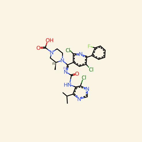 CC(C)c1ncnc(Cl)c1NC(=O)/N=C(\c1cc(Cl)c(-c2ccccc2F)nc1Cl)N1CCN(C(=O)O)C[C@@H]1C